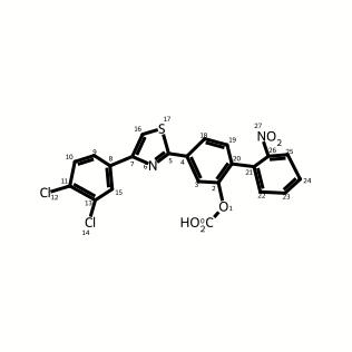 O=C(O)Oc1cc(-c2nc(-c3ccc(Cl)c(Cl)c3)cs2)ccc1-c1ccccc1[N+](=O)[O-]